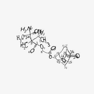 CC(C)C(C)(C(=O)OCC(=O)OC1C2CC3CC(C2)C(=O)OC1C3)C(C)(C)N